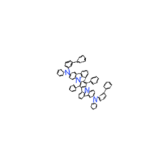 c1ccc(-c2cccc(N(c3ccccc3)c3ccc4c(c3)c3cccc5c6c(-c7ccccc7)c7c(c(-c8ccccc8)c6n4c35)c3cccc4c5cc(N(c6ccccc6)c6cccc(-c8ccccc8)c6)ccc5n7c43)c2)cc1